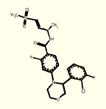 C[C@H](/C=C/S(C)(=O)=O)NC(=O)c1ccc(N2CCOCC2c2cccc(F)c2Cl)cc1F